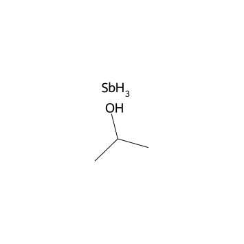 CC(C)O.[SbH3]